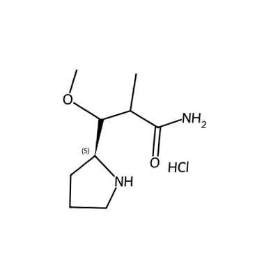 COC(C(C)C(N)=O)[C@@H]1CCCN1.Cl